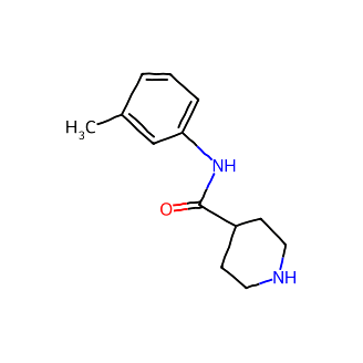 Cc1cccc(NC(=O)C2CCNCC2)c1